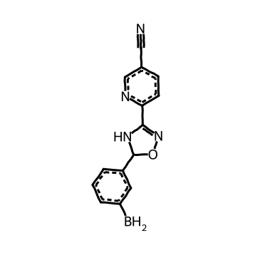 Bc1cccc(C2NC(c3ccc(C#N)cn3)=NO2)c1